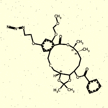 COCOc1cc(OCCN=[N+]=[N-])cc2c1C(=O)O[C@@H](C)[C@H](C)CCC(OC(=O)c1ccccc1)C1OC(C)(C)O[C@@H]1CCC2